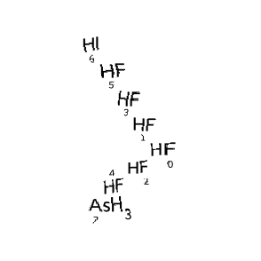 F.F.F.F.F.F.I.[AsH3]